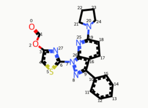 O=COc1csc(-n2nc(-c3ccccc3)c3ccc(N4CCCC4)nc32)n1